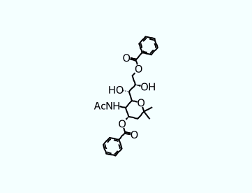 CC(=O)NC1C([C@H](O)[C@H](O)COC(=O)c2ccccc2)OC(C)(C)C[C@H]1OC(=O)c1ccccc1